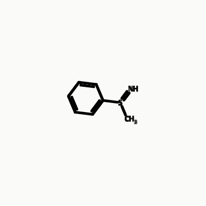 CS(=N)c1ccccc1